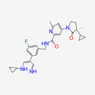 Cc1cc(N2CC[C@@](C)(C3CC3)C2=O)cc(C(=O)NCc2cc(F)cc(/C(C=N)=C/NC3CC3)c2)n1